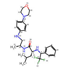 CC(C)C[C@H](N[C@@H](c1ccccc1)C(F)(F)F)C(=O)N[C@@H](C)CNc1ccc(N2CCOCC2)cc1